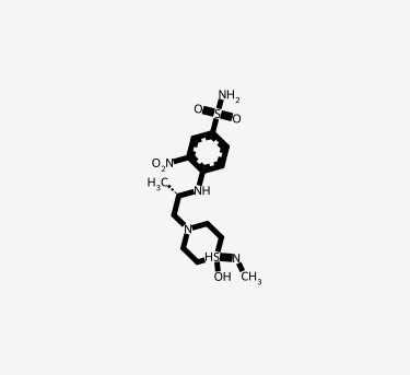 CN=[SH]1(O)CCN(C[C@H](C)Nc2ccc(S(N)(=O)=O)cc2[N+](=O)[O-])CC1